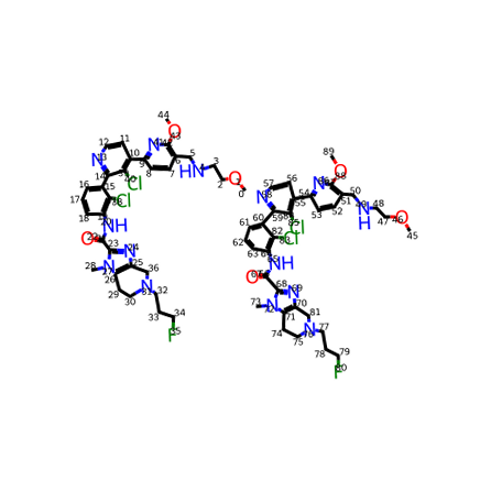 COCCNCc1ccc(-c2ccnc(-c3cccc(NC(=O)c4nc5c(n4C)CCN(CCCF)C5)c3Cl)c2Cl)nc1OC.COCCNCc1ccc(-c2ccnc(-c3cccc(NC(=O)c4nc5c(n4C)CCN(CCCF)C5)c3Cl)c2Cl)nc1OC